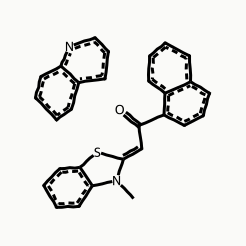 CN1C(=CC(=O)c2cccc3ccccc23)Sc2ccccc21.c1ccc2ncccc2c1